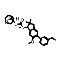 CCc1cccc(-c2cc3c(cc2OC)C(NC(=O)O[C@H]2CN4CCC2CC4)C(C)(C)C3)c1